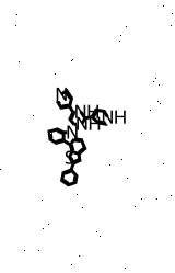 C1=CC(C2NC(c3ccncc3)=CC(n3c4ccccc4c4c5sc(-c6ccccc6)cc5ccc43)N2)=CCN1